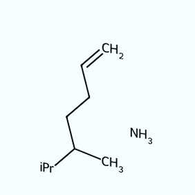 C=CCCC(C)C(C)C.N